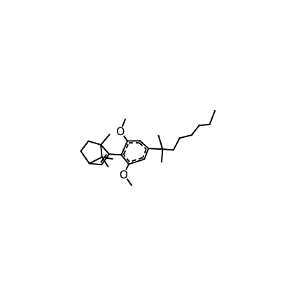 CCCCCCC(C)(C)c1cc(OC)c(C2=CC3CCC2(C)C3(C)C)c(OC)c1